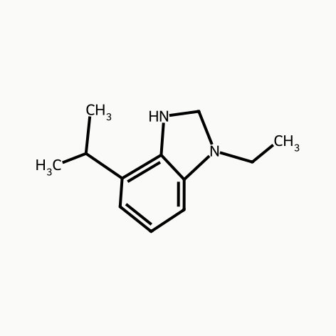 CCN1CNc2c(C(C)C)cccc21